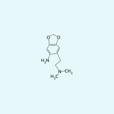 CN(C)CCc1cc2c(cc1N)OCO2